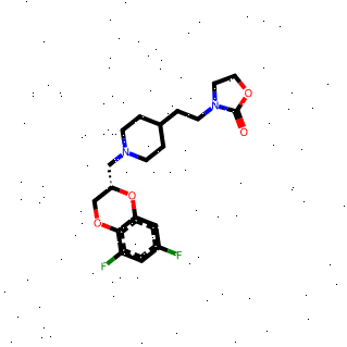 O=C1OCCN1CCC1CCN(C[C@H]2COc3c(F)cc(F)cc3O2)CC1